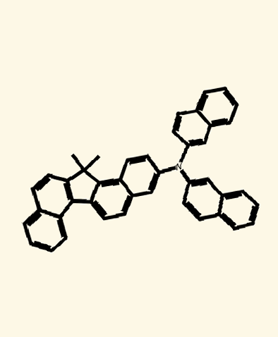 CC1(C)c2ccc3ccccc3c2-c2ccc3cc(N(c4ccc5ccccc5c4)c4ccc5ccccc5c4)ccc3c21